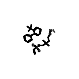 C=CS(=O)(=O)OCC(C)(C)CCO[SiH3].CC(C)(C)c1ccccc1-c1ccccc1